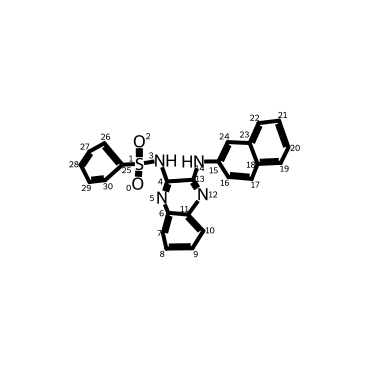 O=S(=O)(Nc1nc2ccccc2nc1Nc1ccc2ccccc2c1)c1ccccc1